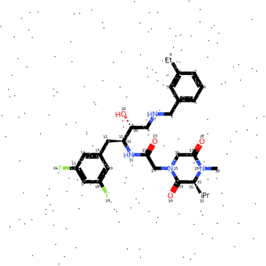 CCc1cccc(CNC[C@@H](O)[C@H](Cc2cc(F)cc(F)c2)NC(=O)CN2CC(=O)N(C)[C@@H](C(C)C)C2=O)c1